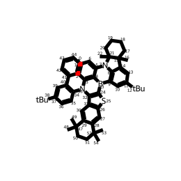 Cc1cc2c3c(c1)N1c4c(cc(C(C)(C)C)cc4C4(C)CCCCC14C)B3c1sc3cc4c(cc3c1N2c1ccc(C(C)(C)C)cc1-c1ccccc1)C(C)(C)CCC4(C)C